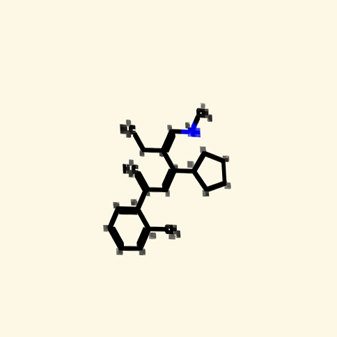 C=C(/C=C(\C(=C/NC)CC)C1CCCC1)c1ccccc1C